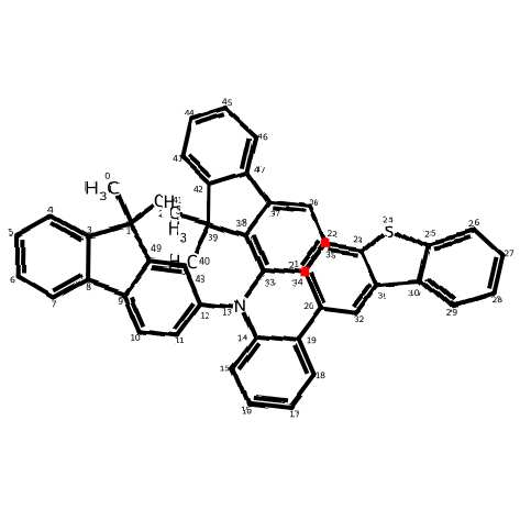 CC1(C)c2ccccc2-c2ccc(N(c3ccccc3-c3ccc4sc5ccccc5c4c3)c3cccc4c3C(C)(C)c3ccccc3-4)cc21